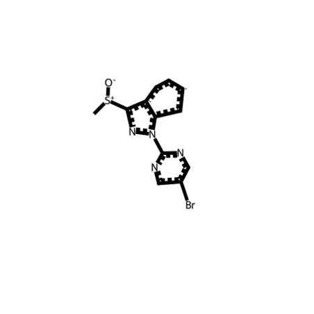 C[S+]([O-])c1nn(-c2ncc(Br)cn2)c2c[c]ccc12